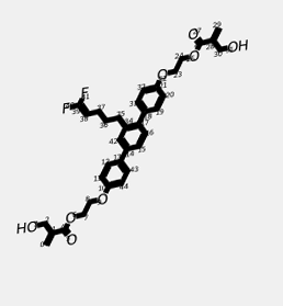 C=C(CO)C(=O)OCCOc1ccc(-c2ccc(-c3ccc(OCCOC(=O)C(=C)CO)cc3)c(CCCC=C(F)F)c2)cc1